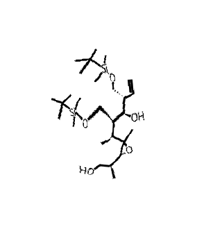 C=C[C@@H](CO[Si](C)(C)C(C)(C)C)[C@@H](O)[C@H](CO[Si](C)(C)C(C)(C)C)[C@H](C)C1(C)O[C@@H]1[C@@H](C)CO